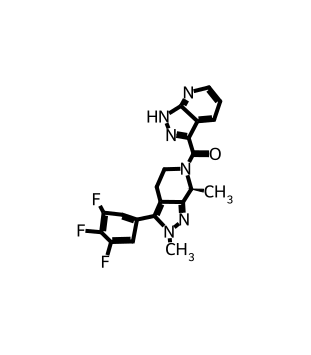 C[C@H]1c2nn(C)c(-c3cc(F)c(F)c(F)c3)c2CCN1C(=O)c1n[nH]c2ncccc12